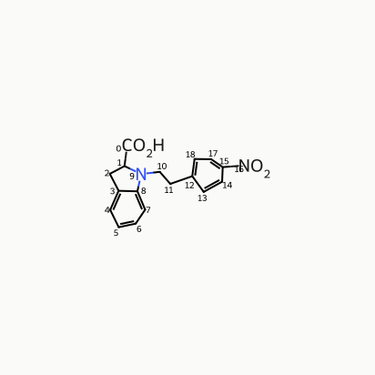 O=C(O)C1Cc2ccccc2N1CCc1ccc([N+](=O)[O-])cc1